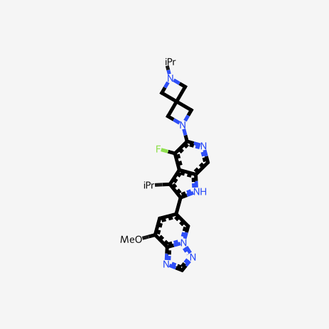 COc1cc(-c2[nH]c3cnc(N4CC5(C4)CN(C(C)C)C5)c(F)c3c2C(C)C)cn2ncnc12